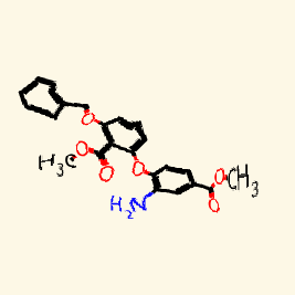 COC(=O)c1ccc(Oc2cccc(OCc3ccccc3)c2C(=O)OC)c(N)c1